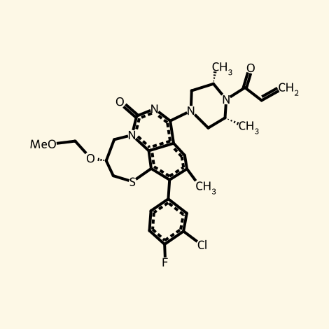 C=CC(=O)N1[C@H](C)CN(c2nc(=O)n3c4c(c(-c5ccc(F)c(Cl)c5)c(C)cc24)SC[C@H](OCOC)C3)C[C@@H]1C